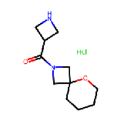 Cl.O=C(C1CNC1)N1CC2(CCCCO2)C1